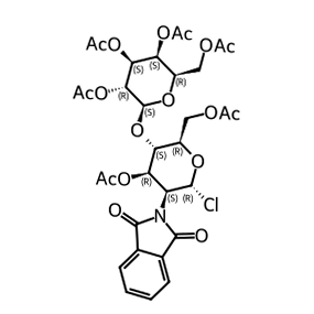 CC(=O)OC[C@H]1O[C@@H](O[C@H]2[C@H](OC(C)=O)[C@H](N3C(=O)c4ccccc4C3=O)[C@@H](Cl)O[C@@H]2COC(C)=O)[C@H](OC(C)=O)[C@@H](OC(C)=O)[C@H]1OC(C)=O